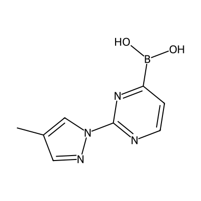 Cc1cnn(-c2nccc(B(O)O)n2)c1